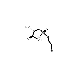 C[C@H](OP(=O)(O)OCCBr)C(=O)O